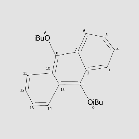 CC(C)COc1c2ccccc2c(OCC(C)C)c2ccccc12